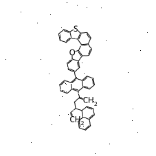 C=CC(CC(=C)c1c2ccccc2c(-c2ccc3oc4c(ccc5ccc6sc7ccccc7c6c54)c3c2)c2ccccc12)C1C=CC=C2C=CC=CC21